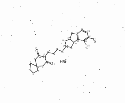 Br.O=C1CC2(CCCC2)CC(=O)N1CCCCN1CC2Cc3ccc(Cl)c(O)c3C2C1